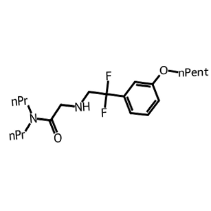 CCCCCOc1cccc(C(F)(F)CNCC(=O)N(CCC)CCC)c1